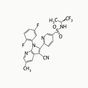 Cc1cnc2c(c1)c(C#N)c(-c1ccc(S(=O)(=O)N[C@@H](C)C(F)(F)F)cn1)n2-c1cc(F)ccc1F